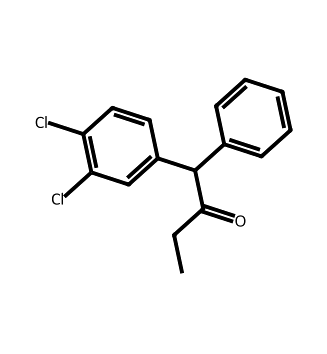 CCC(=O)C(c1ccccc1)c1ccc(Cl)c(Cl)c1